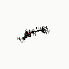 CC[N+](CC)=c1ccc2c(-c3ccccc3C(=O)N(C)CCOC(=O)NCCCCCCOP(OCCC#N)N(C(C)C)C(C)C)c3ccc(C)cc3oc-2c1